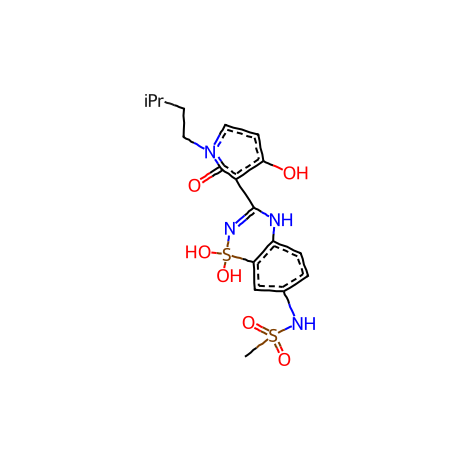 CC(C)CCn1ccc(O)c(C2=NS(O)(O)c3cc(NS(C)(=O)=O)ccc3N2)c1=O